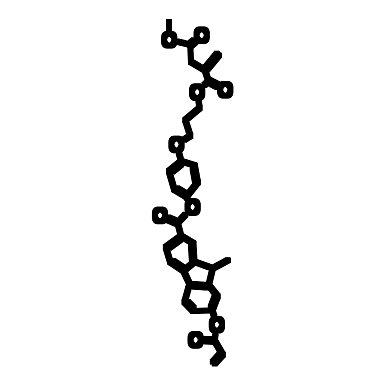 C=CC(=O)Oc1ccc2c(c1)C(C)c1cc(C(=O)Oc3ccc(OCCCOC(=O)C(=C)CC(=O)OC)cc3)ccc1-2